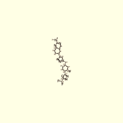 CN(C)c1ncc2cc(-c3cn(Cc4ccc(-c5nnc(C(F)F)o5)c(F)c4)nn3)ccc2n1